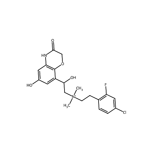 C[N+](C)(CCc1ccc(Cl)cc1F)CC(O)c1cc(O)cc2c1OCC(=O)N2